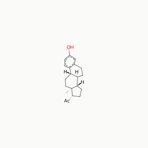 CC(=O)[C@H]1CC[C@H]2[C@@H]3CCc4cc(O)ccc4[C@H]3CC[C@]12C